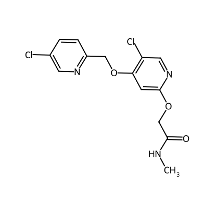 CNC(=O)COc1cc(OCc2ccc(Cl)cn2)c(Cl)cn1